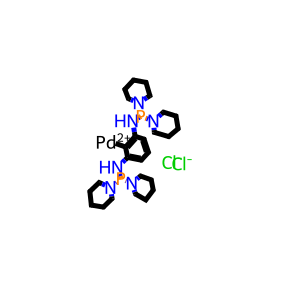 [Cl-].[Cl-].[Pd+2][c]1c(NP(N2CCCCC2)N2CCCCC2)cccc1NP(N1CCCCC1)N1CCCCC1